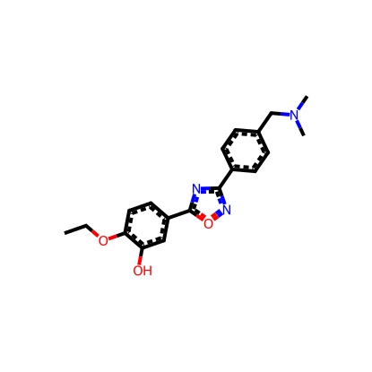 CCOc1ccc(-c2nc(-c3ccc(CN(C)C)cc3)no2)cc1O